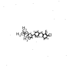 CC(C)(C)OC(=O)CC(C=O)c1ccc(Cc2cccc(Cl)c2F)cn1